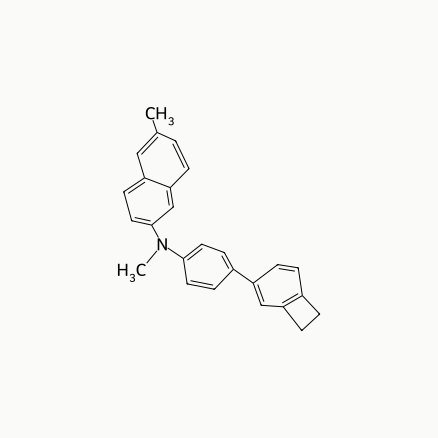 Cc1ccc2cc(N(C)c3ccc(-c4ccc5c(c4)CC5)cc3)ccc2c1